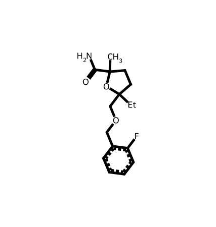 CCC1(COCc2ccccc2F)CCC(C)(C(N)=O)O1